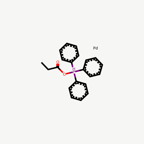 CCC(=O)O[PH](c1ccccc1)(c1ccccc1)c1ccccc1.[Pd]